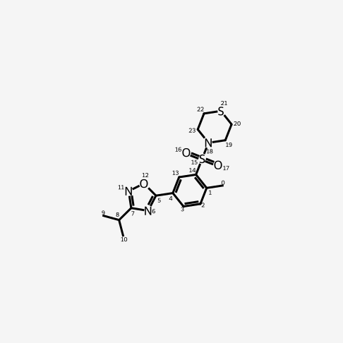 Cc1ccc(-c2nc(C(C)C)no2)cc1S(=O)(=O)N1CCSCC1